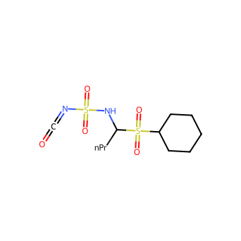 CCCC(NS(=O)(=O)N=C=O)S(=O)(=O)C1CCCCC1